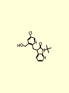 CC(C)(C)N1C(=O)C(Cc2ncc(Cl)cc2CO)c2cccnc21